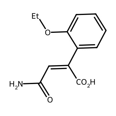 CCOc1ccccc1C(=CC(N)=O)C(=O)O